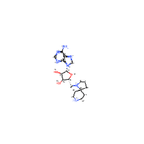 Nc1ncnc2c1ncn2[C@@H]1O[C@H](CN2CCCC23CCNCC3)[C@@H](O)[C@H]1O